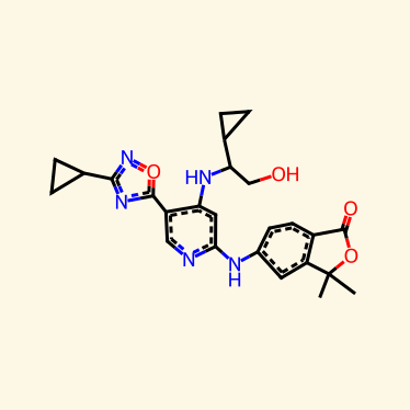 CC1(C)OC(=O)c2ccc(Nc3cc(NC(CO)C4CC4)c(-c4nc(C5CC5)no4)cn3)cc21